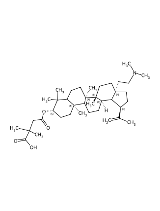 C=C(C)[C@@H]1CC[C@]2(CCN(C)C)CC[C@]3(C)[C@H](CCC4[C@@]5(C)CC[C@H](OC(=O)CC(C)(C)C(=O)O)C(C)(C)C5CC[C@]43C)C12